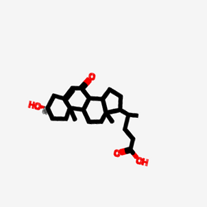 CC(CCC(=O)O)C1CCC2C3C(=O)C=C4C[C@@H](O)CCC4(C)C3CCC12C